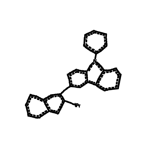 CC(C)c1cc2ccccc2cc1-c1ccc2c(c1)c1ccccc1n2-c1ccccc1